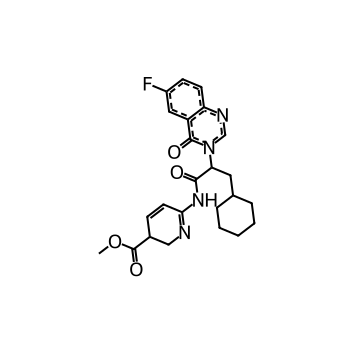 COC(=O)C1C=CC(NC(=O)C(CC2CCCCC2)n2cnc3ccc(F)cc3c2=O)=NC1